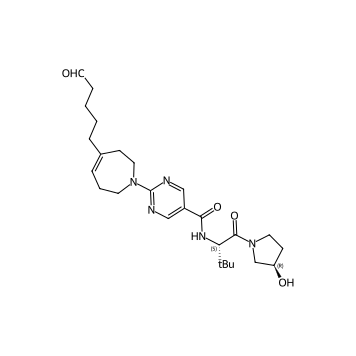 CC(C)(C)[C@H](NC(=O)c1cnc(N2CCC=C(CCCCC=O)CC2)nc1)C(=O)N1CC[C@@H](O)C1